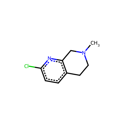 CN1CCc2ccc(Cl)nc2C1